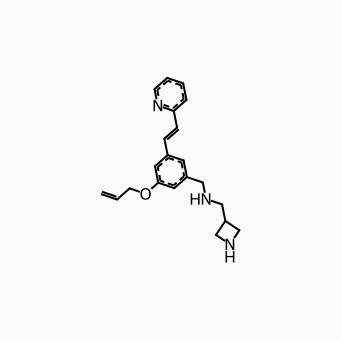 C=CCOc1cc(/C=C/c2ccccn2)cc(CNCC2CNC2)c1